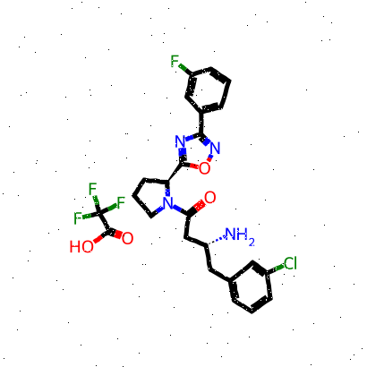 N[C@@H](CC(=O)N1CCC[C@H]1c1nc(-c2cccc(F)c2)no1)Cc1cccc(Cl)c1.O=C(O)C(F)(F)F